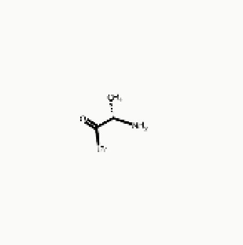 CC(C)C(=O)[C@H](C)N